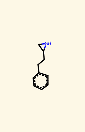 c1ccc(CCC2CN2)cc1